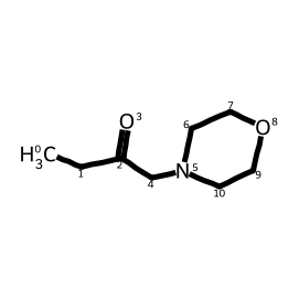 CCC(=O)CN1CCOCC1